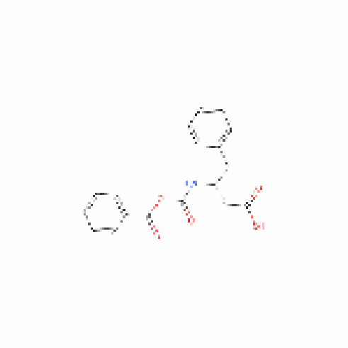 O=C(O)C[C@@H](Cc1ccccc1)NC(=O)OC(=O)c1ccccc1